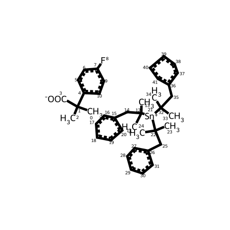 CC(C)(C(=O)[O-])c1ccc(F)cc1.C[C](C)(Cc1ccccc1)[Sn+]([C](C)(C)Cc1ccccc1)[C](C)(C)Cc1ccccc1